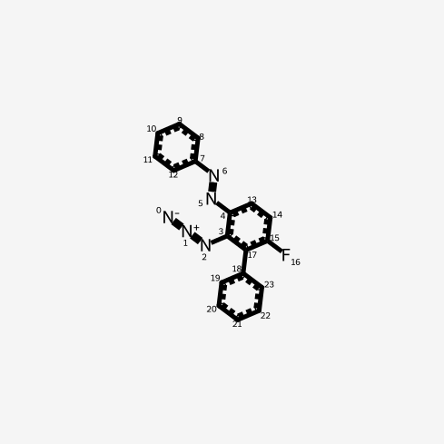 [N-]=[N+]=Nc1c(N=Nc2ccccc2)ccc(F)c1-c1ccccc1